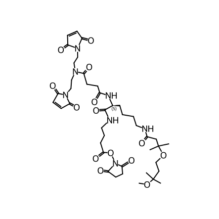 COC(C)(C)CCOC(C)(C)CC(=O)NCCCC[C@H](NC(=O)CCC(=O)N(CCN1C(=O)C=CC1=O)CCN1C(=O)C=CC1=O)C(=O)NCCCC(=O)ON1C(=O)CCC1=O